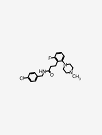 CN1CCN(c2cccc(F)c2CCC(=O)NCc2ccc(Cl)cc2)CC1